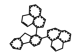 C1=Cc2c(-c3ccc4c(c3-c3ccc5cccc6c5c3C=CC6)Cc3ccccc3-4)ccc3cccc(c23)C1